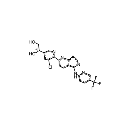 OC[C@H](O)c1cnc(-c2ccc3c(Nc4ccc(C(F)(F)F)cn4)nccc3n2)c(Cl)c1